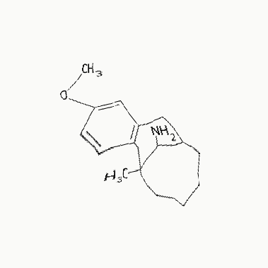 COc1ccc2c(c1)CC1CCCCC2(C)C1N